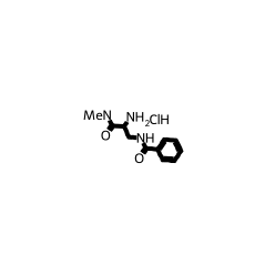 CNC(=O)C(N)CNC(=O)c1ccccc1.Cl